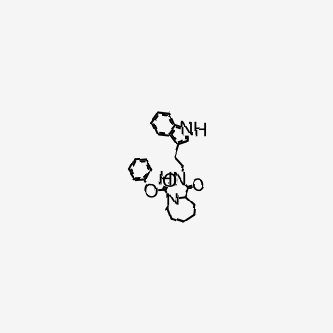 O=C(NCCc1c[nH]c2ccccc12)C1CCCCCN1C(=O)Oc1ccccc1